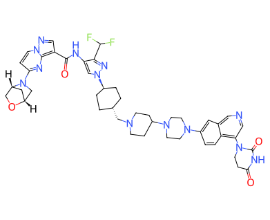 O=C1CCN(c2cncc3cc(N4CCN(C5CCN(C[C@H]6CC[C@H](n7cc(NC(=O)c8cnn9ccc(N%10C[C@H]%11C[C@@H]%10CO%11)nc89)c(C(F)F)n7)CC6)CC5)CC4)ccc23)C(=O)N1